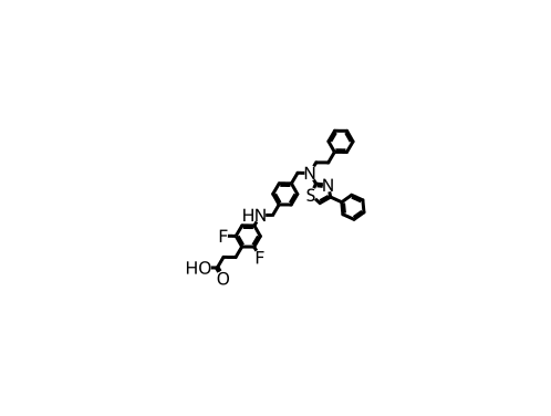 O=C(O)CCc1c(F)cc(NCc2ccc(CN(CCc3ccccc3)c3nc(-c4ccccc4)cs3)cc2)cc1F